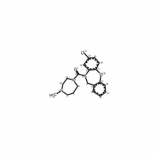 CN1CCCN(C(=O)N2Cc3ccccc3Oc3ccc(Cl)cc32)CC1